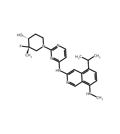 CNc1ccc(C(C)C)c2cc(Nc3ccnc(N4CC[C@@H](O)[C@@](C)(F)C4)n3)ncc12